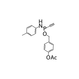 C#CP(Nc1ccc(C)cc1)OCc1ccc(OC(C)=O)cc1